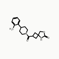 Cc1ccccc1C1CCN(C(=O)C2CC3(COC(=O)N3)C2)CC1